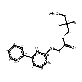 COCC(C)(C)COC(=O)CSc1nccc(-c2ccccn2)n1